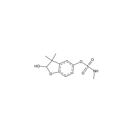 CNS(=O)(=O)Oc1ccc2c(c1)C(C)(C)C(O)O2